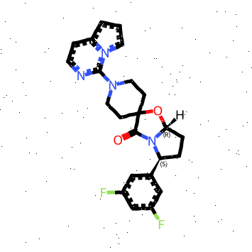 O=C1N2[C@@H](CC[C@H]2c2cc(F)cc(F)c2)OC12CCN(c1nccc3cccn13)CC2